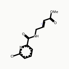 COC(=O)/C=C/CNC(=O)c1cccc(Cl)n1